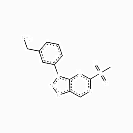 CS(=O)(=O)c1ncc2nnn(-c3cccc(CN)c3)c2n1